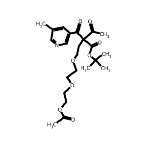 CC(=O)OCCOCCOCCC(C(C)=O)(C(=O)OC(C)(C)C)C(=O)c1cncc(C)c1